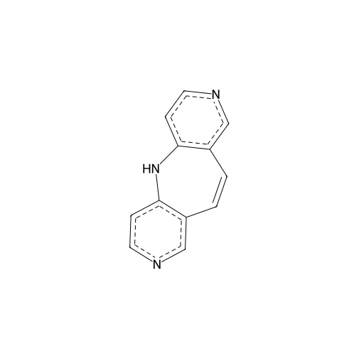 C1=Cc2cnccc2Nc2ccncc21